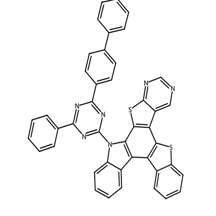 c1ccc(-c2ccc(-c3nc(-c4ccccc4)nc(-n4c5ccccc5c5c6c7ccccc7sc6c6c7cncnc7sc6c54)n3)cc2)cc1